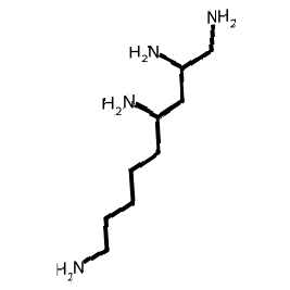 NCCCCCC(N)CC(N)CN